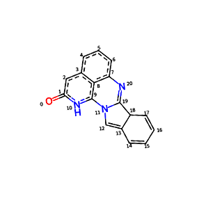 O=c1cc2cccc3c2c([nH]1)N1C=C2C=CC=CC2C1=N3